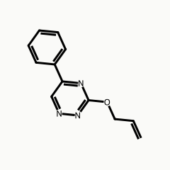 C=CCOc1nncc(-c2ccccc2)n1